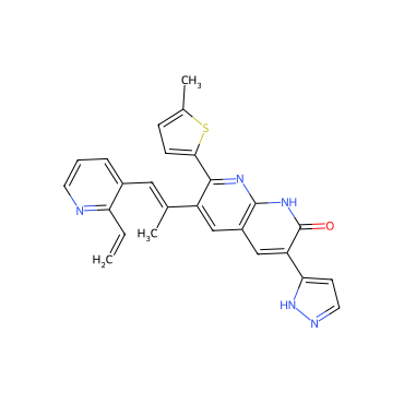 C=Cc1ncccc1/C=C(\C)c1cc2cc(-c3ccn[nH]3)c(=O)[nH]c2nc1-c1ccc(C)s1